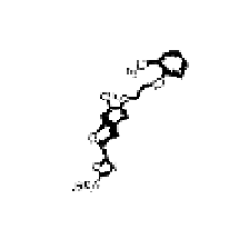 Cc1ccccc1OCCOc1cc2cc(-c3ncc(C(=O)O)o3)oc2cc1C